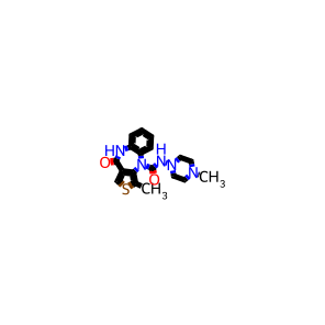 Cc1scc2c1N(C(=O)NN1CCN(C)CC1)c1ccccc1NC2=O